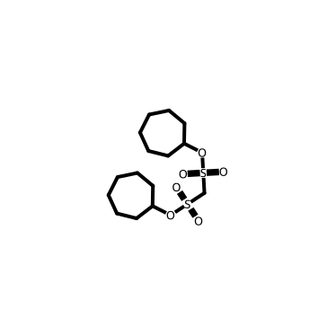 O=S(=O)(CS(=O)(=O)OC1CCCCCC1)OC1CCCCCC1